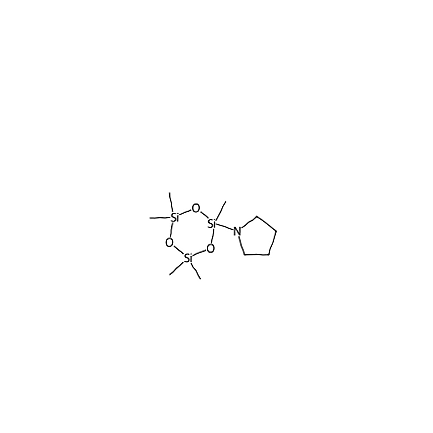 C[Si]1(C)O[Si](C)(C)O[Si](C)(N2CCCC2)O1